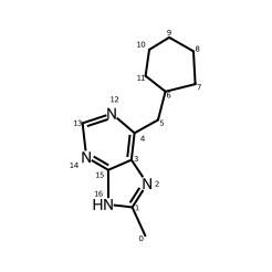 Cc1nc2c(CC3CCCCC3)ncnc2[nH]1